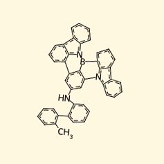 Cc1ccccc1-c1ccccc1Nc1cc2c3c(c1)-n1c4ccccc4c4cccc(c41)B3n1c3ccccc3c3cccc-2c31